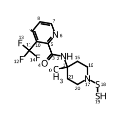 CC1(NC(=O)c2ncccc2C(F)(F)F)CCN(SS)CC1